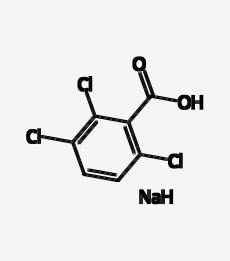 O=C(O)c1c(Cl)ccc(Cl)c1Cl.[NaH]